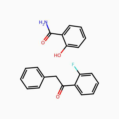 NC(=O)c1ccccc1O.O=C(Cc1ccccc1)c1ccccc1F